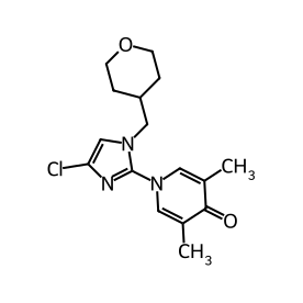 Cc1cn(-c2nc(Cl)cn2CC2CCOCC2)cc(C)c1=O